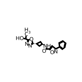 CC(O)c1nnc([C@H]2C[C@H](NC(=O)c3cc(-c4ccccc4)no3)C2)o1